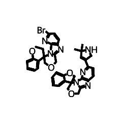 Brc1ccc2nc3n(c2n1)C1(CCOc2ccccc21)COC3.CC1(C)C=C(c2ccc3nc4n(c3n2)C2(COC4)COc3ccccc32)CN1